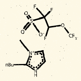 CCCCc1[nH]cc[n+]1C.O=S(=O)([O-])C(F)(F)C(F)OC(F)(F)F